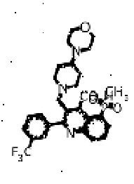 CS(=O)(=O)c1cccc2nc(-c3cccc(C(F)(F)F)c3)c(CN3CCC(N4CCOCC4)CC3)c(C(=O)O)c12